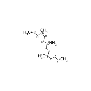 CCCCC(C)CCC(N)CCC(C)CCC